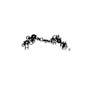 CCN(CCOCCOCCNc1cccc2c1C(=O)N(C1CCC(=O)NC1=O)C2=O)C[C@@H](C)NC(=O)c1ccc(-c2noc(C(F)(F)F)n2)cc1